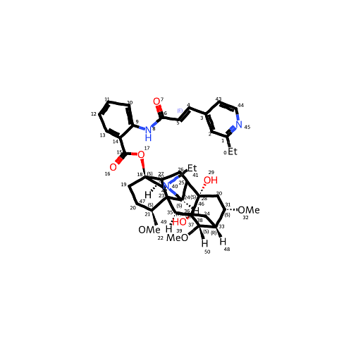 CCc1cc(/C=C/C(=O)Nc2ccccc2C(=O)O[C@@]23CC[C@H](OC)C45[C@H](C(C[C@@H]42)[C@@]2(O)C[C@H](OC)[C@H]4C[C@@H]5[C@]2(O)[C@H]4OC)N(CC)C3)ccn1